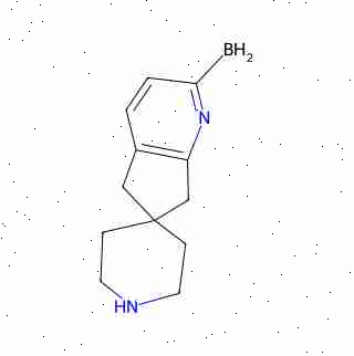 Bc1ccc2c(n1)CC1(CCNCC1)C2